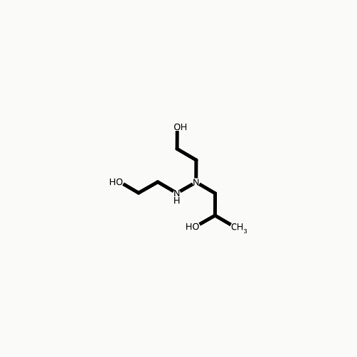 CC(O)CN(CCO)NCCO